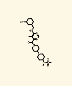 Cc1c(NCC2CCCC(C(C)C)C2)ncnc1C(=O)N1CCC(N2CCC(N(C)S(C)(=O)=O)CC2)CC1